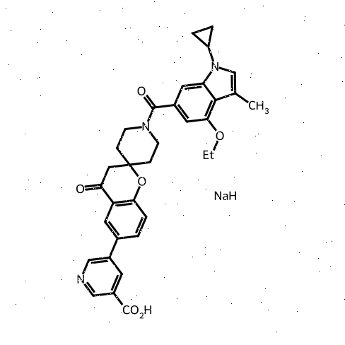 CCOc1cc(C(=O)N2CCC3(CC2)CC(=O)c2cc(-c4cncc(C(=O)O)c4)ccc2O3)cc2c1c(C)cn2C1CC1.[NaH]